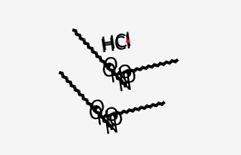 CCCCCCCCCCCCCCCCCC(=O)OCCN(CCCN(C)C)CCOC(=O)CCCCCCCCCCCCCCCCC.CCCCCCCCCCCCCCCCCC(=O)OCCN(CCCN(C)C)CCOC(=O)CCCCCCCCCCCCCCCCC.Cl.Cl